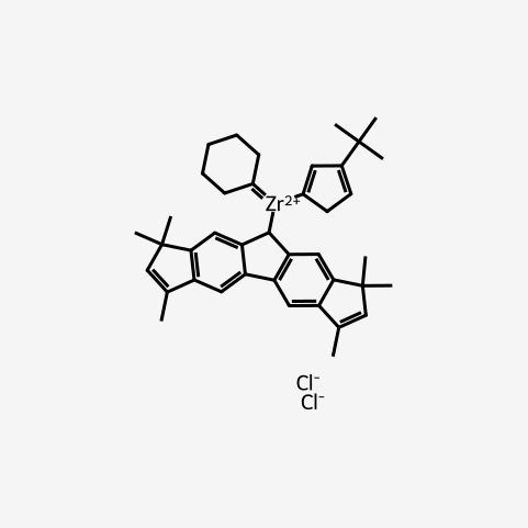 CC1=CC(C)(C)c2cc3c(cc21)-c1cc2c(cc1[CH]3[Zr+2]([C]1=CC(C(C)(C)C)=CC1)=[C]1CCCCC1)C(C)(C)C=C2C.[Cl-].[Cl-]